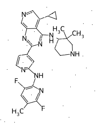 Cc1cc(F)c(Nc2cc(-c3nc(NC4CCNCC4(C)C)c4c(C5CC5)cncc4n3)ccn2)nc1F